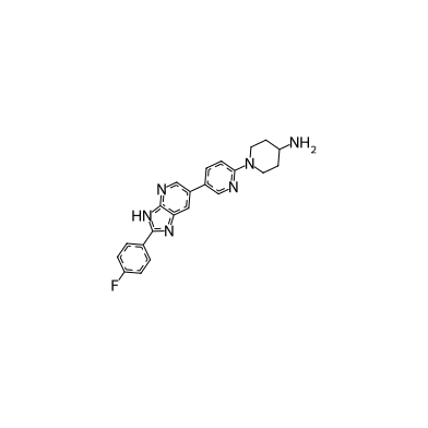 NC1CCN(c2ccc(-c3cnc4[nH]c(-c5ccc(F)cc5)nc4c3)cn2)CC1